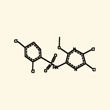 COc1nc(Cl)c(Cl)nc1NS(=O)(=O)c1ccc(Cl)cc1Cl